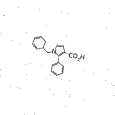 O=C(O)c1ccn(CC2C=CC=CC2)c1-c1ccccc1